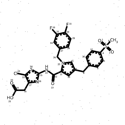 CS(=O)(=O)c1ccc(Cc2cc(C(=O)Nc3nc(CC(=O)O)c(Cl)s3)n(Cc3ccc(F)c(F)c3)c2)cc1